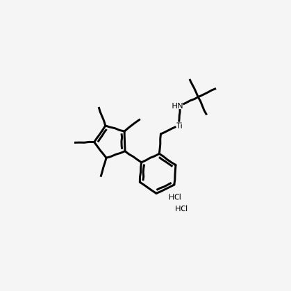 CC1=C(C)C(C)C(c2ccccc2[CH2][Ti][NH]C(C)(C)C)=C1C.Cl.Cl